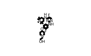 CN1C(C)(C)CC(Nc2nc(Nc3ccc(OC4CCN(CCO)CC4)c(F)c3)ncc2F)CC1(C)C